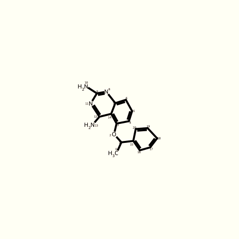 CC(Oc1cccc2nc(N)nc(N)c12)c1ccccc1